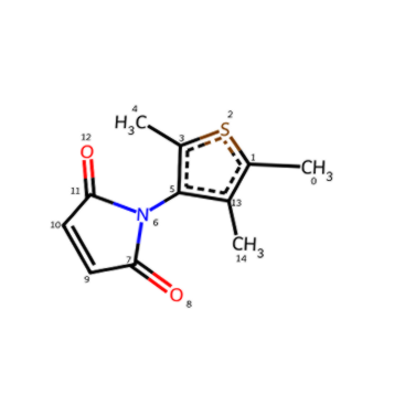 Cc1sc(C)c(N2C(=O)C=CC2=O)c1C